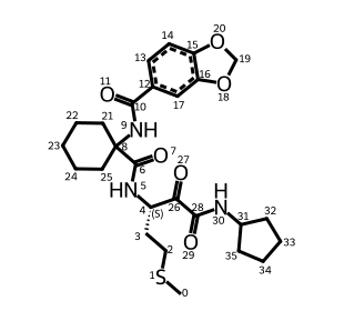 CSCC[C@H](NC(=O)C1(NC(=O)c2ccc3c(c2)OCO3)CCCCC1)C(=O)C(=O)NC1CCCC1